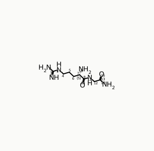 N=C(N)NCCC[C@H](N)C(=O)NCC(N)=O